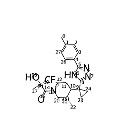 Cc1ccc(-c2nnc(C3(C4CCN(C(=O)[C@@](C)(O)C(F)(F)F)C[C@H]4C)CC3)[nH]2)cc1